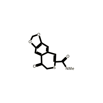 CNC(=O)C1=Cc2cc3c(cc2C(=O)CS1)OCO3